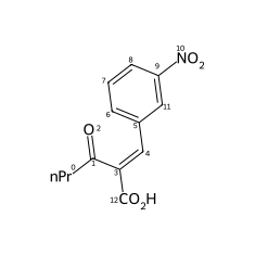 CCCC(=O)C(=Cc1cccc([N+](=O)[O-])c1)C(=O)O